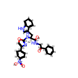 C[C@@](Cc1c[nH]c2ccccc12)(Nc1nc(-c2ccc([N+](=O)[O-])cc2)co1)C(=O)NCC(=O)c1ccccc1